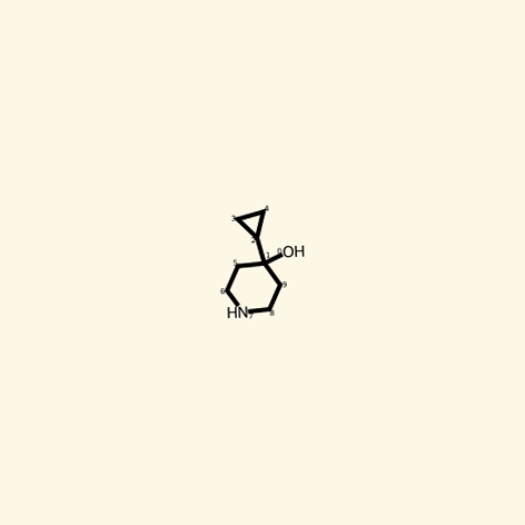 OC1(C2CC2)CCNCC1